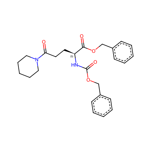 O=C(N[C@@H](CCC(=O)N1CCCCC1)C(=O)OCc1ccccc1)OCc1ccccc1